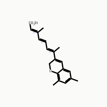 CCOC(=O)/C=C(C)/C=C/C=C(\C)C1=Cc2cc(C)cc(C)c2OC1